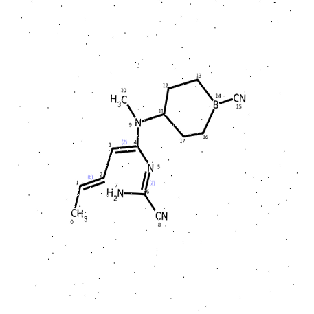 C/C=C/C=C(\N=C(/N)C#N)N(C)C1CCB(C#N)CC1